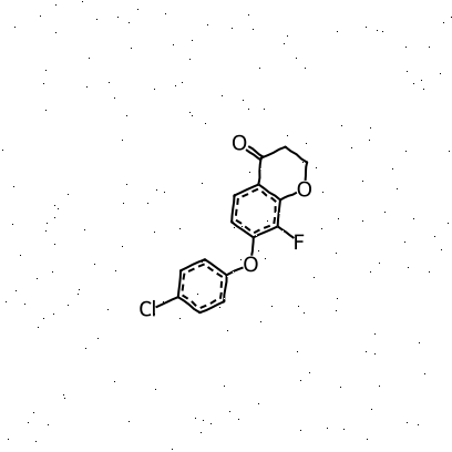 O=C1CCOc2c1ccc(Oc1ccc(Cl)cc1)c2F